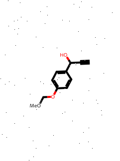 C#CC(O)c1ccc(OCOC)cc1